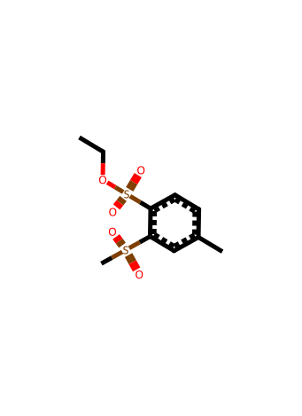 CCOS(=O)(=O)c1ccc(C)cc1S(C)(=O)=O